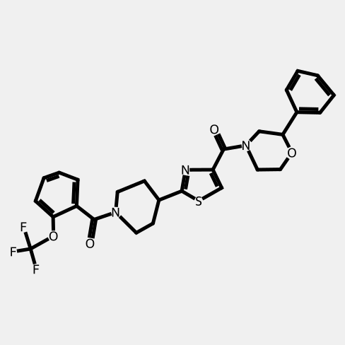 O=C(c1csc(C2CCN(C(=O)c3ccccc3OC(F)(F)F)CC2)n1)N1CCOC(c2ccccc2)C1